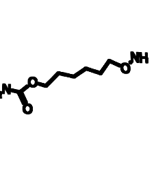 NOCCCCCCOC(N)=O